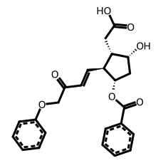 O=C(O)C[C@H]1[C@H](C=CC(=O)COc2ccccc2)[C@@H](OC(=O)c2ccccc2)C[C@H]1O